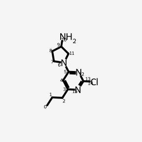 CCCc1cc(N2CCC(N)C2)nc(Cl)n1